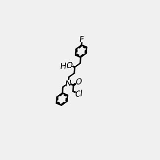 O=C(CCl)N(CCC(O)Cc1ccc(F)cc1)Cc1ccccc1